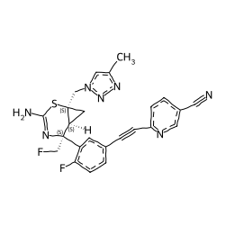 Cc1cn(C[C@]23C[C@H]2[C@@](CF)(c2cc(C#Cc4ccc(C#N)cn4)ccc2F)N=C(N)S3)nn1